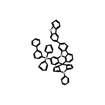 c1ccc(-c2cccc([Si](c3ccccc3)(c3ccccc3)c3ccc4c(c3)-n3c5cc(-c6ccc7oc8ccccc8c7c6)ccc5c5cccc(c53)C43c4ccccc4N(c4ccccc4)c4ccccc43)c2)cc1